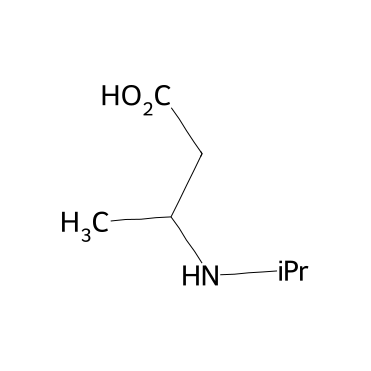 CC(C)NC(C)CC(=O)O